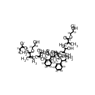 C=C(C)C(=O)O.C=C(C)C(=O)O.C=C(C)C(=O)OCCO.C=C(C)C(=O)OCCO.C=CC(=O)[O-].C=CC(c1ccccc1)[N+](C)(C)C.C=CC(c1ccccc1)[N+](C)(C)C.[Cl-]